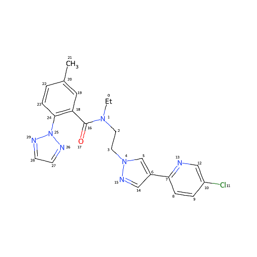 CCN(CCn1cc(-c2ccc(Cl)cn2)cn1)C(=O)c1cc(C)ccc1-n1nccn1